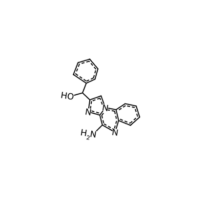 Nc1nc2ccccc2n2cc(C(O)c3ccccc3)nc12